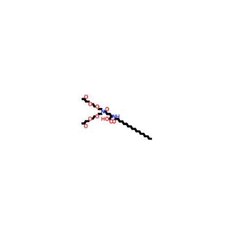 CCCCCCCCCCCCCCCCCC(=O)NC(CCC(=O)N(CCOCCOCCC(C)=O)CCOCCOCCC(C)=O)C(=O)O